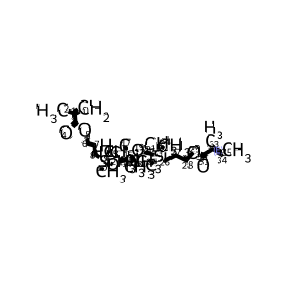 C=C(C)C(=O)OCCC[Si](C)(C)OC(C)(C)[Si](C)(C)OC(C)(C)[Si](C)(C)CCCOC(=O)/C(C)=C/C